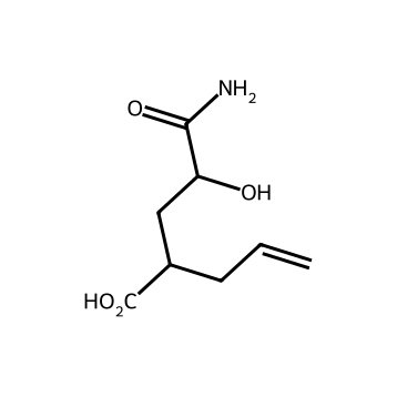 C=CCC(CC(O)C(N)=O)C(=O)O